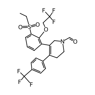 CCS(=O)(=O)c1cccc(C2=C(c3ccc(C(F)(F)F)cc3)CCN(C=O)C2)c1OCC(F)(F)F